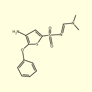 CN(C)/C=N/S(=O)(=O)c1cc(N)c(Oc2ccccc2)s1